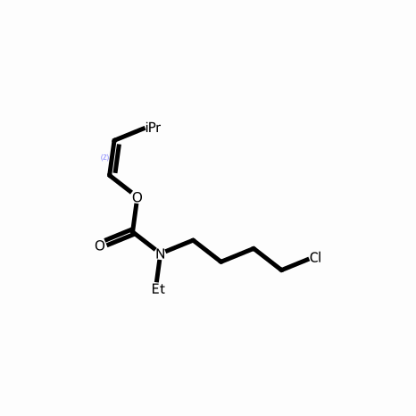 CCN(CCCCCl)C(=O)O/C=C\C(C)C